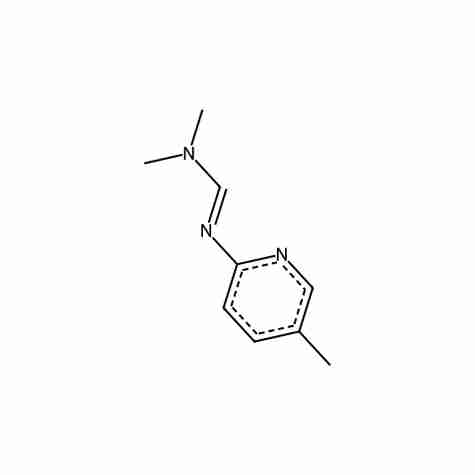 Cc1ccc(/N=C/N(C)C)nc1